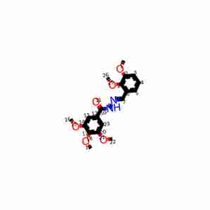 COc1cccc(C=NNC(=O)c2cc(OC)c(OC)c(OC)c2)c1OC